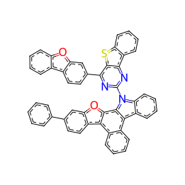 c1ccc(-c2ccc3c(c2)oc2c3c3ccccc3c3c4ccccc4n(-c4nc(-c5ccc6c(c5)oc5ccccc56)c5sc6ccccc6c5n4)c23)cc1